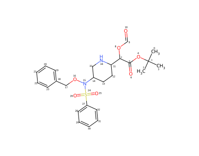 CC(C)(C)OC(=O)C(OC=O)C1CCC(N(OCc2ccccc2)S(=O)(=O)c2ccccc2)CN1